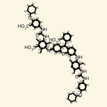 Cc1cc(C)c(Nc2ccc3c(-c4ccccc4S(=O)(=O)O)c4cc/c(=N\c5c(C)c(NC(=O)Nc6ccc(OC7CCCCC7)c(C(=O)O)c6)c(C)c(S(=O)(=O)O)c5C)cc-4oc3c2)c(C)c1NC(=O)Nc1ccc(OC2CCCCC2)cc1